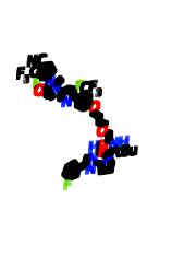 C=C1N(c2ccc(C#N)c(C(F)(F)F)c2F)C(=O)C(C)(C)N1c1cnc(-c2ccc(OCCCCOCC(=O)N[C@H](C(=O)N3CCC[C@H]3c3nc(-c4cccc(F)c4)c[nH]3)C(C)(C)C)cc2C(F)(F)F)c(F)c1